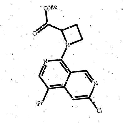 COC(=O)C1CCN1c1ncc(C(C)C)c2cc(Cl)ncc12